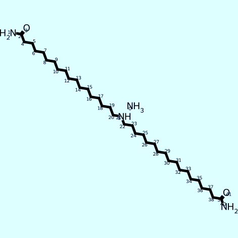 N.NC(=O)CCCCCCCCCCCCCCCCCNCCCCCCCCCCCCCCCCCC(N)=O